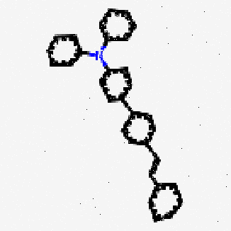 C(=C\c1ccc(-c2ccc(N(c3ccccc3)c3ccccc3)cc2)cc1)/c1ccccc1